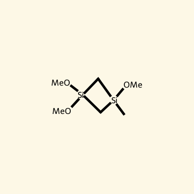 CO[Si]1(C)C[Si](OC)(OC)C1